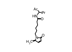 C=C1C=CC(=O)N1CCCCCC(=O)NC(C(C)=O)C(C)C